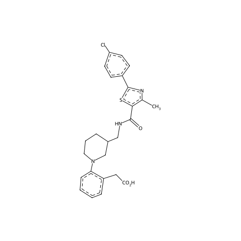 Cc1nc(-c2ccc(Cl)cc2)sc1C(=O)NCC1CCCN(c2ccccc2CC(=O)O)C1